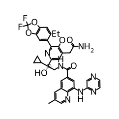 CCOc1c(CC(N)=O)cc([C@@](O)(CNC(=O)c2cc(Nc3cnccn3)c3ncc(C)cc3c2)C2CC2)nc1-c1ccc2c(c1)OC(F)(F)O2